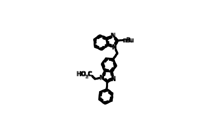 CCCCc1nc2ccccc2n1Cc1ccc2c(c1)nc(-c1ccccc1)n2CC(=O)O